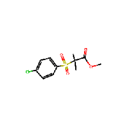 COC(=O)C(C)(C)S(=O)(=O)c1ccc(Cl)cc1